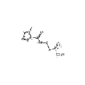 Cn1cncc1C(=O)NCC[C@H](N)C(=O)O